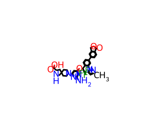 Cc1ccn(-c2cc(-c3ccc4c(c3)COC4=O)ccc2[C@@H](Oc2cc(N3CCC4(CC3)CNC(C(=O)O)C4)nc(N)n2)C(F)(F)F)n1